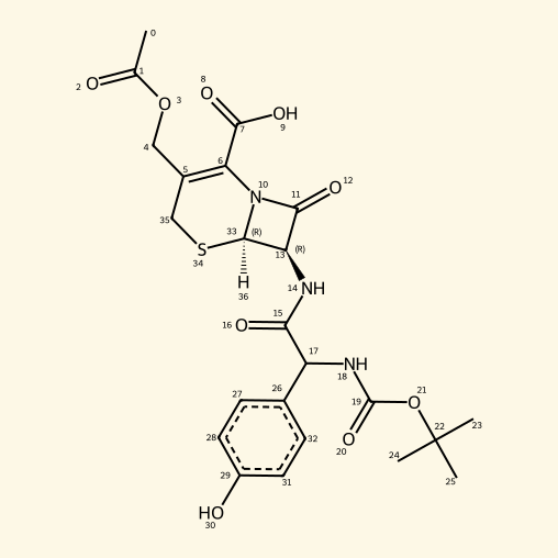 CC(=O)OCC1=C(C(=O)O)N2C(=O)[C@@H](NC(=O)C(NC(=O)OC(C)(C)C)c3ccc(O)cc3)[C@H]2SC1